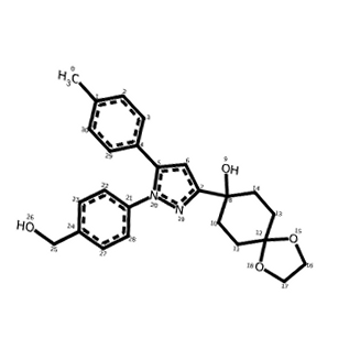 Cc1ccc(-c2cc(C3(O)CCC4(CC3)OCCO4)nn2-c2ccc(CO)cc2)cc1